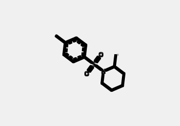 [CH2]C1CCCCN1S(=O)(=O)c1ccc(C)cc1